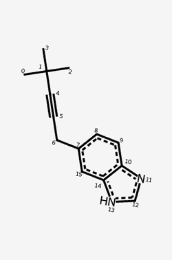 CC(C)(C)C#CCc1ccc2nc[nH]c2c1